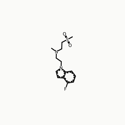 CN(CCn1ccc2c(F)cccc21)CCS(C)(=O)=O